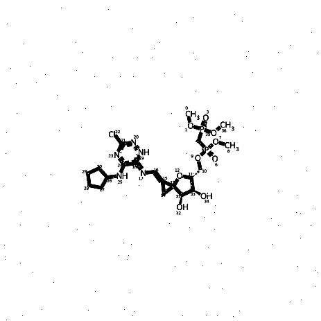 COP(=O)(CP(=O)(OC)OC[C@H]1OC2(C/C2=C\N=c2/[nH]nc(Cl)nc2NC2CCCC2)[C@H](O)[C@@H]1O)OC